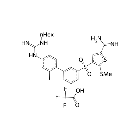 CCCCCCNC(=N)Nc1ccc(-c2cccc(S(=O)(=O)c3cc(C(=N)N)sc3SC)c2)c(C)c1.O=C(O)C(F)(F)F